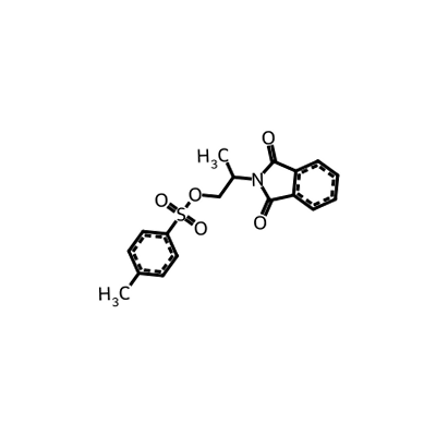 Cc1ccc(S(=O)(=O)OCC(C)N2C(=O)c3ccccc3C2=O)cc1